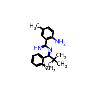 Cc1ccc(N)c(C(=N)/N=C(\c2ccccc2C)C(C)(C)C)c1